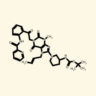 C/C=C/Cn1c(N2CCCC(NC(=O)OC(C)(C)C)C2)nc2c1c(=O)n(CC(=O)c1ccccc1NC(=O)c1ccccn1)c(=O)n2C